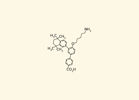 CC1(C)CCC(C)(C)c2cc(-c3cc(-c4ccc(C(=O)O)cc4)ccc3OCCCCCN)ccc21